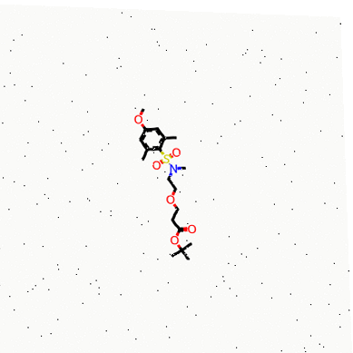 COc1cc(C)c(S(=O)(=O)N(C)CCOCCC(=O)OC(C)(C)C)c(C)c1